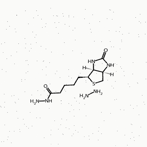 NN.NNC(=O)CCCC[C@@H]1SC[C@@H]2NC(=O)N[C@@H]21